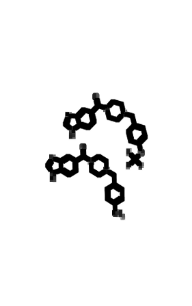 Cc1ccc(CN2CCN(C(=O)c3ccc4[nH]cnc4c3)CC2)cc1.O=C(c1ccc2[nH]cnc2c1)N1CCN(Cc2ccc(OC(F)(F)F)cc2)CC1